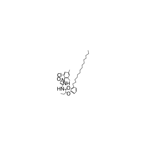 CCCCCCCCCCCCCCCc1cccc(OC(CC)C(=O)Nc2cc(=O)n(-c3c(C)cc(C)cc3Cl)[nH]2)c1